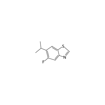 CC(C)c1cc2scnc2cc1F